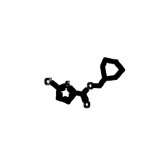 O=C(OCC1CCCCC1)c1ccc(Cl)s1